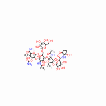 CC(=O)N[C@@H]1[C@H](O[C@@H]2C(CO[C@@H]3OC(CO)C(O)[C@@H](O)[C@@H]3O)O[C@@H](OC3[C@@H](OC(N)=O)[C@](C)(O)C(C(N)=O)O[C@@H]3O)[C@@H](NC(C)=O)C2O)OC(C)C(O[C@@H]2OC(C(=O)NC3=C(O)CCC3=O)[C@H](O)C(O)[C@@H]2O)[C@H]1O